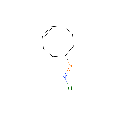 ClN=PC1CCC=CCCC1